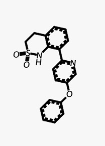 O=S1(=O)CCc2cccc(-c3ccc(Oc4ccccc4)cn3)c2N1